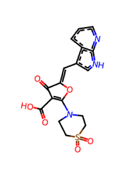 O=C(O)C1=C(N2CCS(=O)(=O)CC2)OC(=Cc2c[nH]c3ncccc23)C1=O